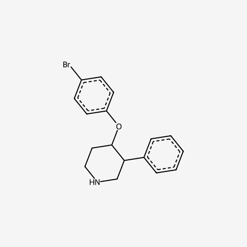 Brc1ccc(OC2CCNCC2c2ccccc2)cc1